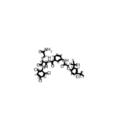 CCC(C)(C)c1ccc(OCC(=O)Nc2cccc(C(=O)NC3=NN(c4c(Cl)cc(Cl)cc4Cl)C(=O)C3SCC(N)=O)c2)c(C(C)(C)CC)c1